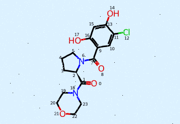 O=C([C@H]1CCCN1C(=O)c1cc(Cl)c(O)cc1O)N1CCOCC1